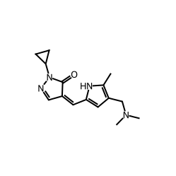 Cc1[nH]c(C=C2C=NN(C3CC3)C2=O)cc1CN(C)C